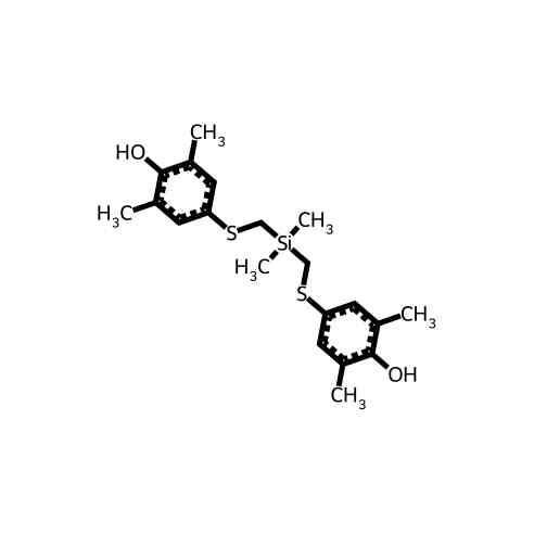 Cc1cc(SC[Si](C)(C)CSc2cc(C)c(O)c(C)c2)cc(C)c1O